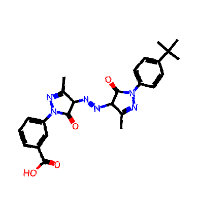 CC1=NN(c2ccc(C(C)(C)C)cc2)C(=O)C1N=NC1C(=O)N(c2cccc(C(=O)O)c2)N=C1C